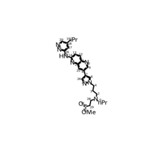 CCCN(CCCn1cc(-c2cnc3ccc(Nc4cc(C(C)C)cnn4)nc3c2)cn1)CCS(=O)OC